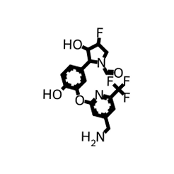 NCc1cc(Oc2cc(C3C(O)C(F)CN3C=O)ccc2O)nc(C(F)(F)F)c1